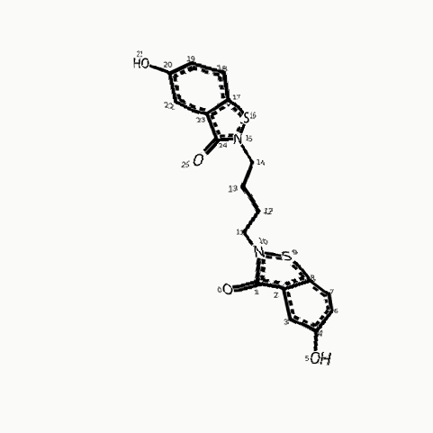 O=c1c2cc(O)ccc2sn1CCCCn1sc2ccc(O)cc2c1=O